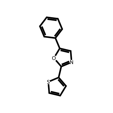 c1ccc(-c2cnc(-c3cccs3)o2)cc1